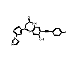 O=C1CC(c2cccc(-n3ccnc3)c2)=Nc2cc(O)c(C#Cc3ccc(F)cc3)cc2N1